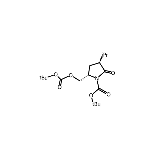 CC(C)[C@@H]1C[C@@H](COC(=O)OC(C)(C)C)N(C(=O)OC(C)(C)C)C1=O